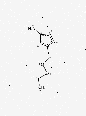 CCOOCc1nnc(N)s1